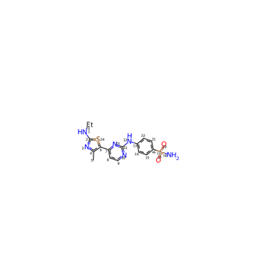 CCNc1nc(C)c(-c2ccnc(Nc3ccc(S(N)(=O)=O)cc3)n2)s1